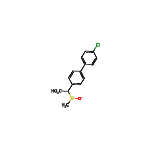 C[S+]([O-])C(C(=O)O)c1ccc(-c2ccc(Cl)cc2)cc1